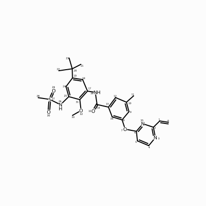 C=Cc1nccc(Oc2cc(C)cc(C(=O)Nc3cc(C(C)(C)C)cc(NS(C)(=O)=O)c3OC)c2)n1